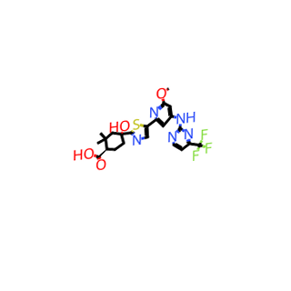 COc1cc(Nc2nccc(C(F)(F)F)n2)cc(-c2cnc([C@]3(O)CC[C@@H](C(=O)O)C(C)(C)C3)s2)n1